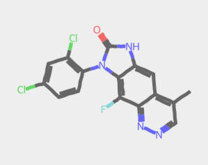 Cc1cnnc2c(F)c3c(cc12)[nH]c(=O)n3-c1ccc(Cl)cc1Cl